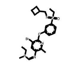 CCN(C)/C=N\c1cc(Br)c(Oc2cccc(S(=O)(CC)=NCC3CCC3)c2)nc1C